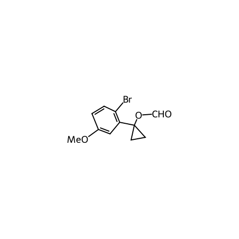 COc1ccc(Br)c(C2(OC=O)CC2)c1